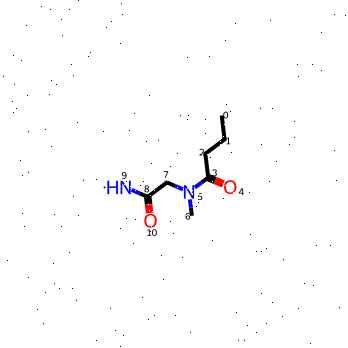 CCCC(=O)N(C)CC([NH])=O